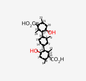 Cc1cc(-c2c(O)cc(C)c(C(=O)O)c2C)ccc1-c1c(O)cc(C)c(C(=O)O)c1C